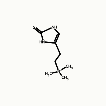 C[N+](C)(C)CCc1c[nH]c(=S)[nH]1